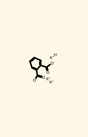 O=C([O-])c1ccccc1C(=O)[O-].[H-].[K+].[K+].[K+]